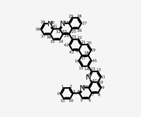 c1ccc(-c2ccc3ccc4ccc(-c5ccc6c(ccc7cc(-c8c9ccccc9nc9c8ccc8cccnc89)ccc76)c5)nc4c3n2)cc1